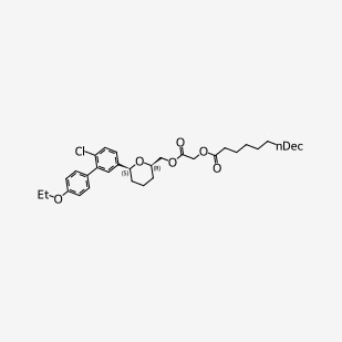 CCCCCCCCCCCCCCCC(=O)OCC(=O)OC[C@H]1CCC[C@@H](c2ccc(Cl)c(-c3ccc(OCC)cc3)c2)O1